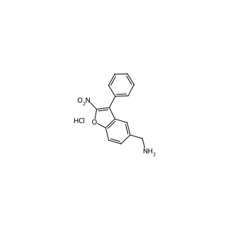 Cl.NCc1ccc2oc([N+](=O)[O-])c(-c3ccccc3)c2c1